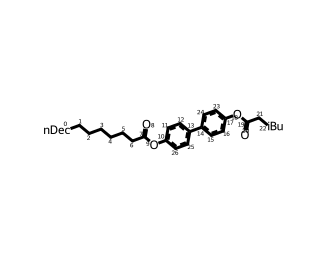 CCCCCCCCCCCCCCCCC(=O)Oc1ccc(-c2ccc(OC(=O)CC(C)CC)cc2)cc1